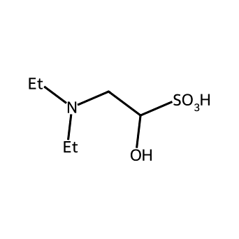 CCN(CC)CC(O)S(=O)(=O)O